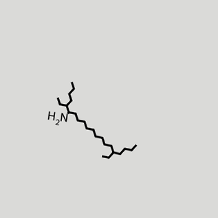 CCCCC(CC)CCCCCCCCCC(N)C(CC)CCCC